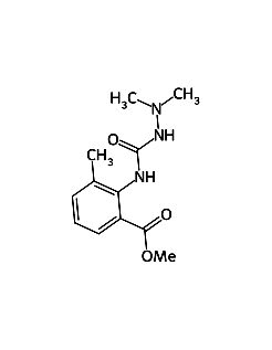 COC(=O)c1cccc(C)c1NC(=O)NN(C)C